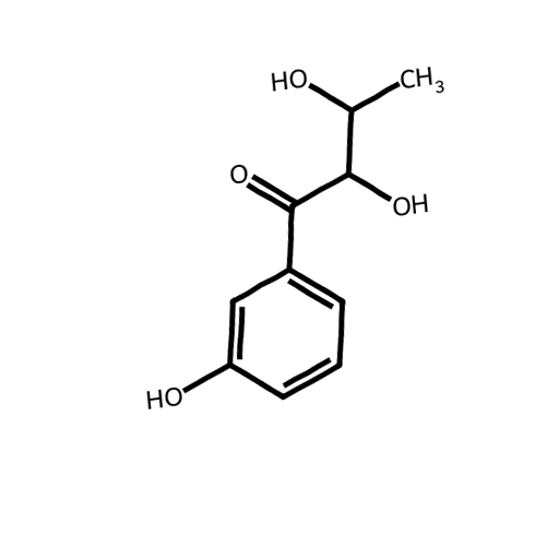 CC(O)C(O)C(=O)c1cccc(O)c1